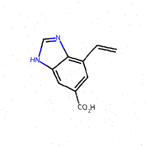 C=Cc1cc(C(=O)O)cc2[nH]cnc12